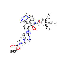 Cn1cncc1-c1ccc(Nc2ccc(N3CCN(C(=O)OC(C)(C)C)CC3)cn2)c2c(=O)n(COCC[Si](C)(C)C)ccc12